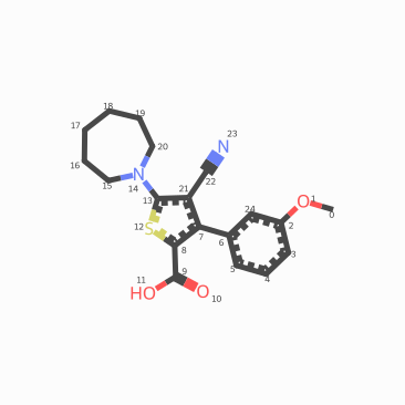 COc1cccc(-c2c(C(=O)O)sc(N3CCCCCC3)c2C#N)c1